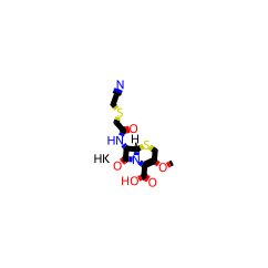 COC1=C(C(=O)O)N2C(=O)C(NC(=O)CSCC#N)[C@H]2SC1.[KH]